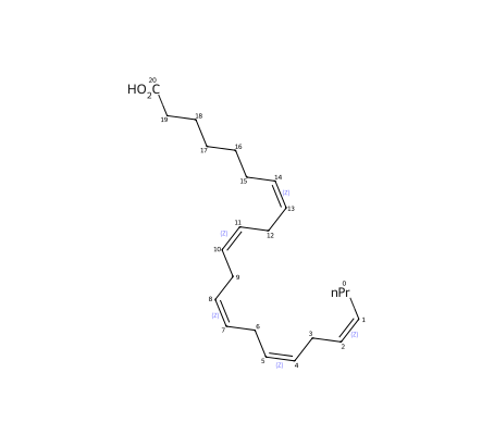 CCC/C=C\C/C=C\C/C=C\C/C=C\C/C=C\CCCCCC(=O)O